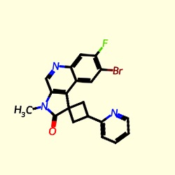 CN1C(=O)C2(CC(c3ccccn3)C2)c2c1cnc1cc(F)c(Br)cc21